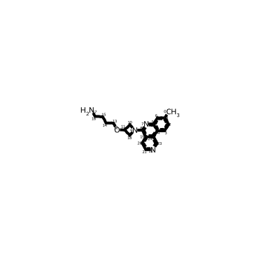 Cc1ccc2c(c1)nc(N1CC(OCCCCN)C1)c1ccncc12